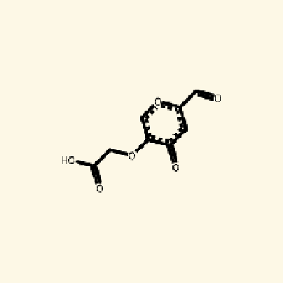 O=Cc1cc(=O)c(OCC(=O)O)co1